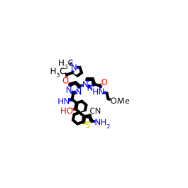 COCCNC(=O)c1ccn(-c2cc(O[C@@H](C)[C@@H]3CCCN3C)nc(C(=N)C3=C(O)[C@@]4(CCC3)CCCc3sc(N)c(C#N)c34)n2)n1